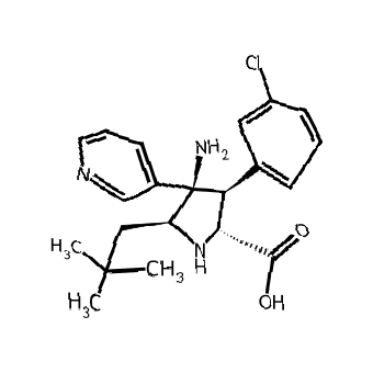 CC(C)(C)C[C@@H]1N[C@@H](C(=O)O)[C@H](c2cccc(Cl)c2)[C@@]1(N)c1cccnc1